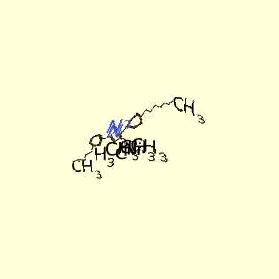 CCCCCCCCc1ccc(C2=C(CC)C(C)=C(c3cccc(CCCCC)c3)[N+]2=[N-])cc1.[CH3][Ni][CH3]